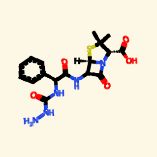 CC1(C)S[C@@H]2C(NC(=O)C(NC(=O)NN)c3ccccc3)C(=O)N2[C@H]1C(=O)O